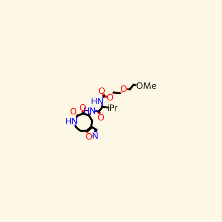 COCCOCCOC(=O)NC(C(=O)NC1Cc2cnoc2CCNC(=O)C1=O)C(C)C